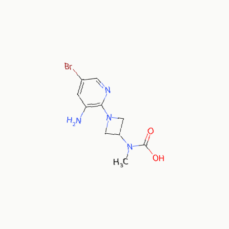 CN(C(=O)O)C1CN(c2ncc(Br)cc2N)C1